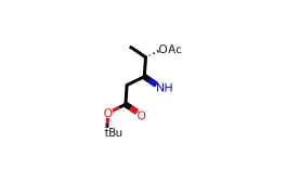 CC(=O)O[C@@H](C)C(=N)CC(=O)OC(C)(C)C